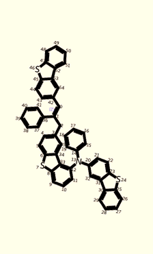 C(=C(\Cc1ccc2sc3cccc(N(c4ccccc4)c4ccc5sc6ccccc6c5c4)c3c2c1)c1ccccc1)/c1ccc2sc3ccccc3c2c1